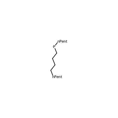 CCCCCCCCC[P]CCCCC